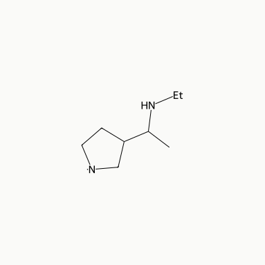 CCNC(C)C1CC[N]C1